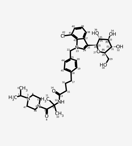 CC(C)N1CCN(C(=O)C(C)(C)NC(=O)CCCc2ccc(Cn3cc([C@@H]4O[C@H](CO)[C@@H](O)[C@H](O)[C@H]4O)c4cccc(Cl)c43)cc2)CC1